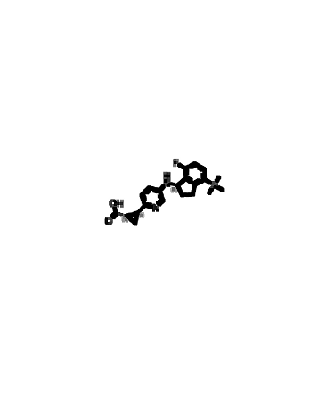 C[Si](C)(C)c1ccc(F)c2c1CC[C@H]2Nc1ccc([C@H]2C[C@@H]2C(=O)O)nc1